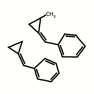 C(=C1CC1)c1ccccc1.CC1CC1=Cc1ccccc1